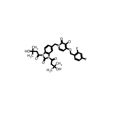 CC(C)(O)CC(=O)n1c(=O)n(C(=O)CC(C)(C)O)c2cc(Cn3ccc(OCc4ccc(F)cc4F)c(Cl)c3=O)ccc21